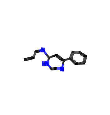 C=C/C=N\C1C=C(c2ccccc2)N=CN1